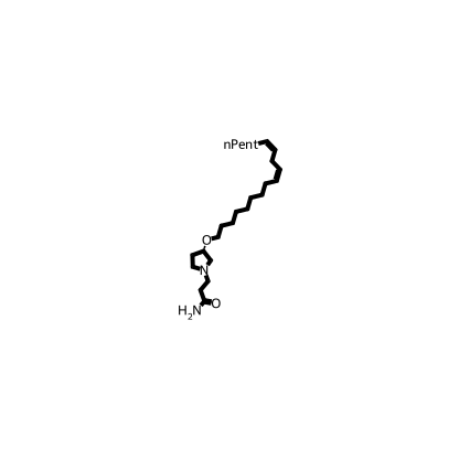 CCCCC/C=C\C/C=C\CCCCCCCCO[C@H]1CCN(CCC(N)=O)C1